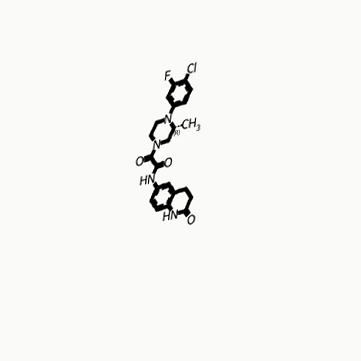 C[C@@H]1CN(C(=O)C(=O)Nc2ccc3c(c2)CCC(=O)N3)CCN1c1ccc(Cl)c(F)c1